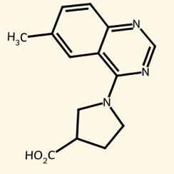 Cc1ccc2ncnc(N3CCC(C(=O)O)C3)c2c1